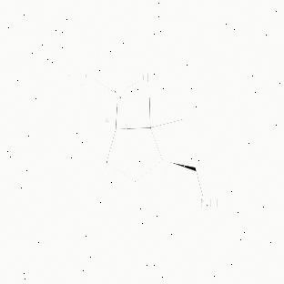 CC(C)(C)N(C(=O)O)[C@]1(C)CC[C@H](CN)C1(C)C